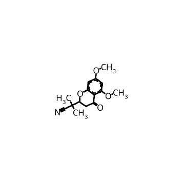 COc1cc(OC)c2c(c1)OC(C(C)(C)C#N)CC2=O